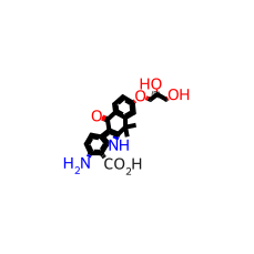 CC1(C)c2cc(OC[C@H](O)CO)ccc2C(=O)c2c1[nH]c1c(C(=O)O)c(N)ccc21